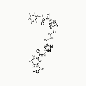 O=C(Cc1ccccc1)Nc1nnc(CCCCc2nnc(CC(=O)c3cccc(CO)c3)s2)s1